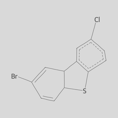 Clc1ccc2c(c1)C1C=C(Br)C=CC1S2